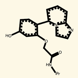 CC(C)NC(=O)COc1cc(O)ccc1-c1cccc2nccn12